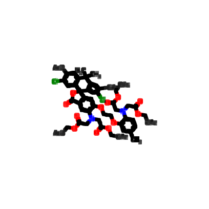 CC(=O)OCOC(=O)CN(CC(=O)OCOC(C)=O)c1ccc(C)cc1OCCOc1cc2c(cc1N(CC(=O)OCOC(C)=O)CC(=O)OCOC(C)=O)C(=O)OC21c2cc(Cl)c(OC(C)=O)cc2C(C)(C)c2cc(OC(C)=O)c(Cl)cc21